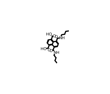 CCCCNC(=O)c1ccc(C(=O)NCCCC)c2c(C(=O)O)ccc(C(=O)O)c12